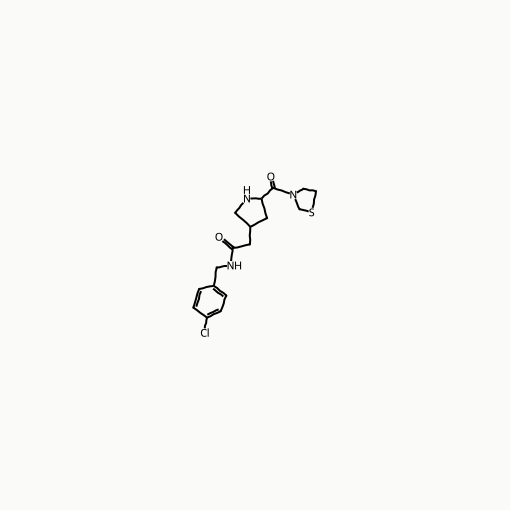 O=C(CC1CNC(C(=O)N2CCSC2)C1)NCc1ccc(Cl)cc1